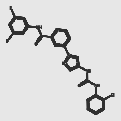 O=C(Nc1cnn(-c2cccc(C(=O)Nc3cc(F)cc(F)c3)c2)c1)Nc1ccccc1Cl